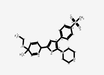 CC1(OCC(F)(F)F)C=CC(c2cc(-c3ccc(S(C)(=O)=O)cc3)c(N3CCOCC3)s2)N=C1